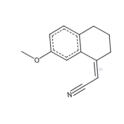 COc1ccc2c(c1)/C(=C\C#N)CCC2